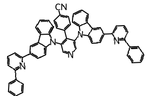 N#Cc1ccc(-c2c(-n3c4ccccc4c4cc(-c5cccc(-c6ccccc6)n5)ccc43)cncc2-n2c3ccccc3c3cc(-c4cccc(-c5ccccc5)n4)ccc32)cc1